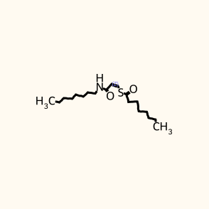 CCCCCCCCNC(=O)/C=C\SC(=O)CCCCCCC